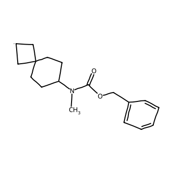 CN(C(=O)OCc1ccccc1)C1CCC2(C[CH]C2)CC1